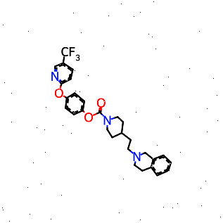 O=C(Oc1ccc(Oc2ccc(C(F)(F)F)cn2)cc1)N1CCC(CCN2CCc3ccccc3C2)CC1